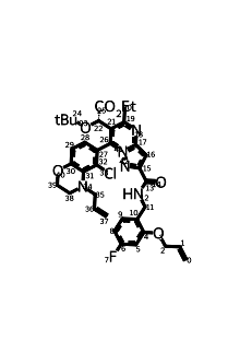 C=CCOc1cc(F)ccc1CNC(=O)c1cc2nc(C)c([C@H](OC(C)(C)C)C(=O)OCC)c(-c3ccc4c(c3Cl)N(CC=C)CCO4)n2n1